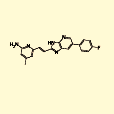 Cc1cc(N)nc(/C=C/c2nc3cc(-c4ccc(F)cc4)cnc3[nH]2)c1